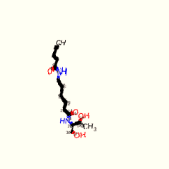 C#CCCC(=O)NCCCCCC(=O)N[C@H](CO)[C@@H](C)O